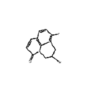 O=c1ccc2ccc(F)c3c2n1CC(Br)C3